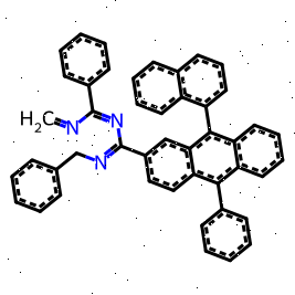 C=N/C(=N\C(=N/Cc1ccccc1)c1ccc2c(-c3ccccc3)c3ccccc3c(-c3cccc4ccccc34)c2c1)c1ccccc1